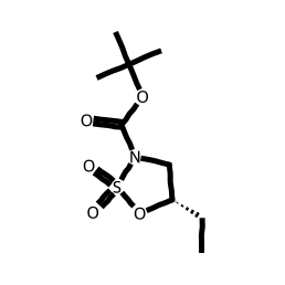 CC[C@H]1CN(C(=O)OC(C)(C)C)S(=O)(=O)O1